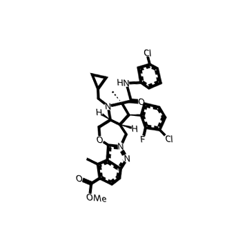 COC(=O)c1ccc2nn3c(c2c1C)OC[C@H]1[C@@H](C3)[C@H](c2cccc(Cl)c2F)[C@](C)(C(=O)Nc2cccc(Cl)c2)N1CC1CC1